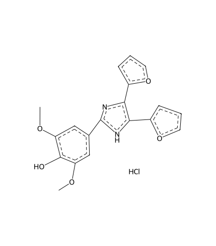 COc1cc(-c2nc(-c3ccco3)c(-c3ccco3)[nH]2)cc(OC)c1O.Cl